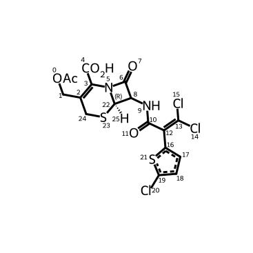 CC(=O)OCC1=C(C(=O)O)N2C(=O)C(NC(=O)C(=C(Cl)Cl)c3ccc(Cl)s3)[C@H]2SC1